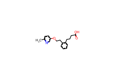 Cc1ccc(OCCc2ccccc2CCCC(=O)O)cn1